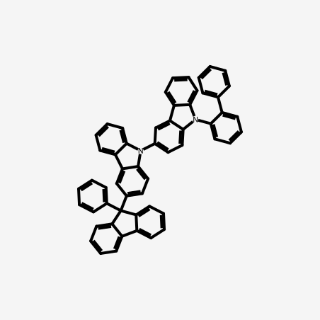 c1ccc(-c2ccccc2-n2c3ccccc3c3cc(-n4c5ccccc5c5cc(C6(c7ccccc7)c7ccccc7-c7ccccc76)ccc54)ccc32)cc1